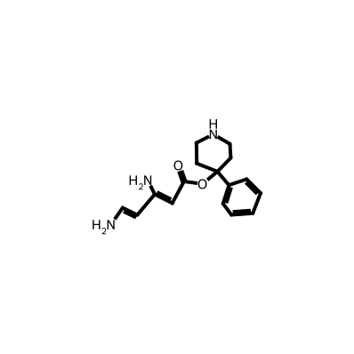 N/C=C/C(N)=C/C(=O)OC1(c2ccccc2)CCNCC1